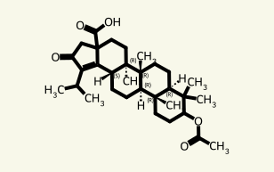 CC(=O)OC1CC[C@]2(C)[C@H]3CC[C@@H]4C5=C(C(C)C)C(=O)CC5(C(=O)O)CC[C@@]4(C)[C@]3(C)CC[C@H]2C1(C)C